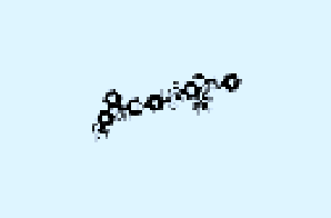 [CH2]C[C@H](CSc1ccccc1)Nc1ccc(S(=O)(=O)NC(=O)c2ccc(N3CCC([C@@H](O)c4ccccc4-c4ccc(C(F)(F)F)cc4)CC3)cc2)cc1S(=O)(=O)C(F)(F)F